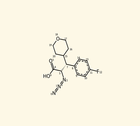 [N-]=[N+]=NC(C(=O)O)[C@@H](c1ccc(F)cc1)C1CCOCC1